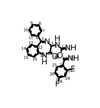 N=C(NC1N=C(c2ccccc2)c2ccccc2NC1=O)OC(=N)c1ccc(F)cc1F